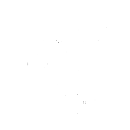 Cl.O=[N+]([O-])c1ccc(C2CN(Cc3ccccc3)CCO2)cc1